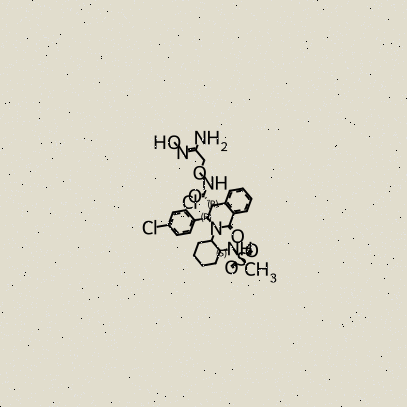 CS(=O)(=O)N[C@H]1CCCCC1N1C(=O)c2ccccc2[C@@H](C(=O)NOCC(N)=NO)[C@@H]1c1ccc(Cl)cc1Cl